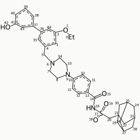 CCOc1cc(CN2CCN(c3ccc(C(=O)NS(=O)(=O)CC45CC6CC(CC(C6)C4)C5)cc3)CC2)cc(-c2cccc(O)c2)c1